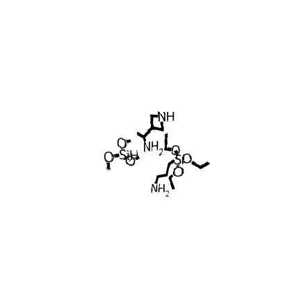 CC(N)C1CNC1.CCO[Si](CCCN)(OCC)OCC.CO[SiH](OC)OC